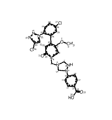 COc1cn(CN2CNN(c3ccc(C(=O)O)cc3)C2)c(=O)cc1-c1cc(Cl)ccc1-n1cc(Cl)nn1